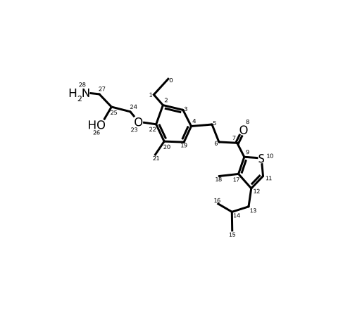 CCc1cc(CCC(=O)c2scc(CC(C)C)c2C)cc(C)c1OCC(O)CN